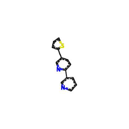 c1cncc(-c2ccc(-c3cccs3)cn2)c1